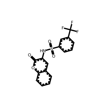 O=c1oc2[c]cccc2cc1NS(=O)(=O)c1cccc(C(F)(F)F)c1